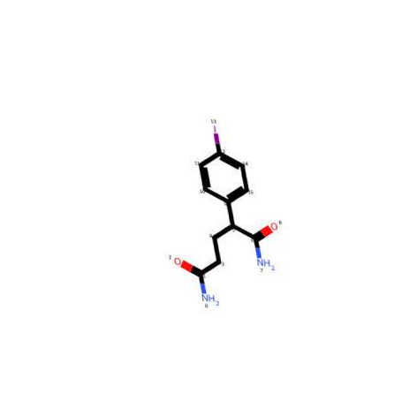 NC(=O)CCC(C(N)=O)c1ccc(I)cc1